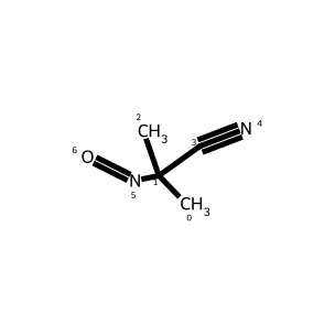 CC(C)(C#N)N=O